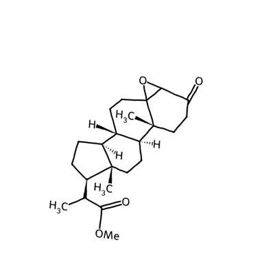 COC(=O)C(C)[C@H]1CC[C@H]2[C@@H]3CCC45OC4C(=O)CC[C@]5(C)[C@H]3CC[C@]12C